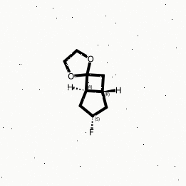 F[C@H]1C[C@H]2CC3(OCCO3)[C@@H]2C1